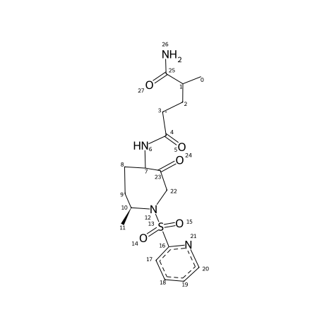 CC(C[CH]C(=O)NC1CC[C@H](C)N(S(=O)(=O)c2ccccn2)CC1=O)C(N)=O